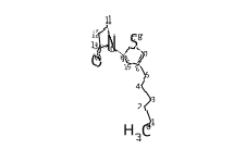 CCCCCCc1csc(N2CCC2=O)c1